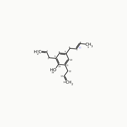 C=CCc1cc(C/C=C/C)cc(CC=C)c1O